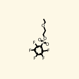 CCOCCOS(=O)(=O)c1c(F)c(F)c(F)c(F)c1F